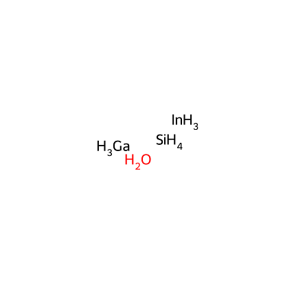 O.[GaH3].[InH3].[SiH4]